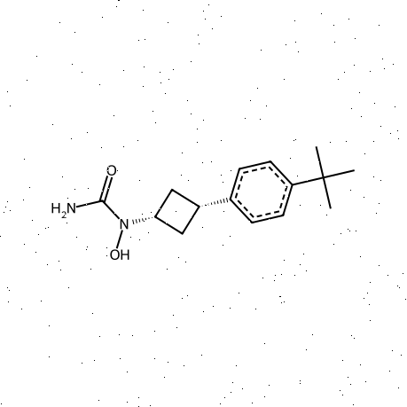 CC(C)(C)c1ccc([C@H]2C[C@@H](N(O)C(N)=O)C2)cc1